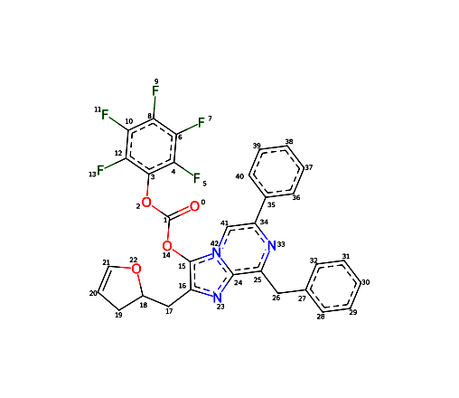 O=C(Oc1c(F)c(F)c(F)c(F)c1F)Oc1c(CC2CC=CO2)nc2c(Cc3ccccc3)nc(-c3ccccc3)cn12